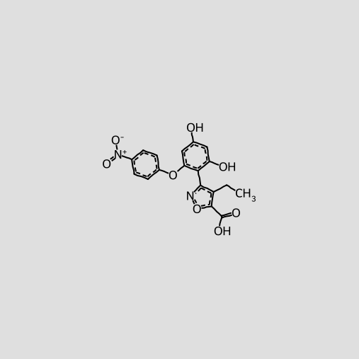 CCc1c(-c2c(O)cc(O)cc2Oc2ccc([N+](=O)[O-])cc2)noc1C(=O)O